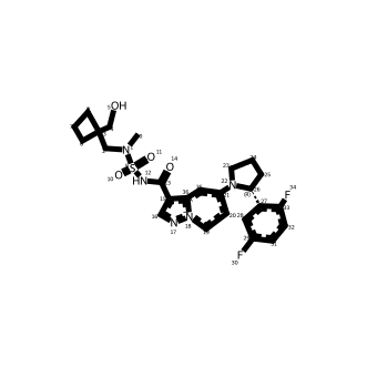 CN(CC1(CO)CCC1)S(=O)(=O)NC(=O)c1cnn2ccc(N3CCC[C@@H]3c3cc(F)ccc3F)cc12